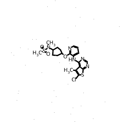 Cc1c(Cl)sc2ncnc(Nc3cccnc3OC3CCC(N(C)S(C)(=O)=O)CC3)c12